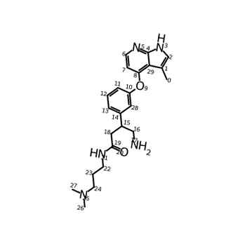 Cc1c[nH]c2nccc(Oc3cccc(C(CN)CC(=O)NCCCN(C)C)c3)c12